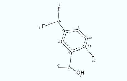 CC(O)c1cc(C(F)F)ccc1F